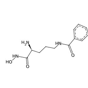 N[C@@H](CCCNC(=O)c1ccccc1)C(=O)NO